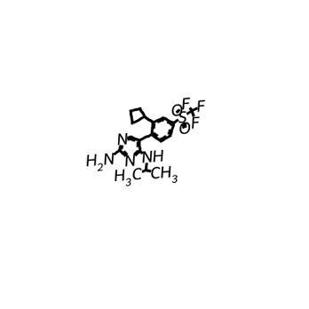 CC(C)Nc1nc(N)ncc1-c1ccc(S(=O)(=O)C(F)(F)F)cc1C1CCC1